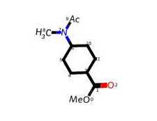 COC(=O)C1CCC(N(C)C(C)=O)CC1